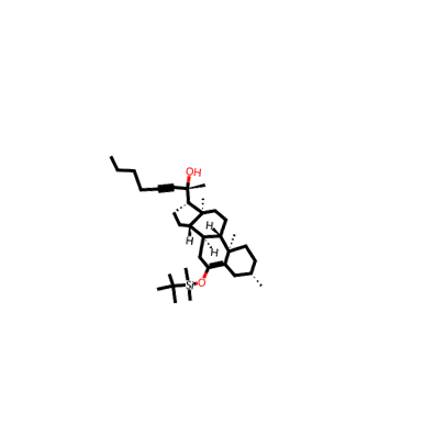 CCCCC#C[C@](C)(O)[C@H]1CC[C@H]2[C@@H]3CC(O[Si](C)(C)C(C)(C)C)=C4C[C@@H](C)CC[C@]4(C)[C@H]3CC[C@@]21C